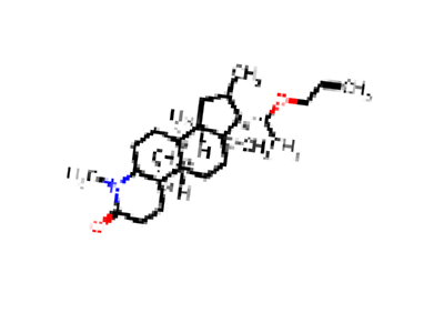 C=CCOC(C)[C@H]1C(C)C[C@H]2[C@@H]3CCC4N(C)C(=O)CC[C@]4(C)[C@H]3CC[C@]12C